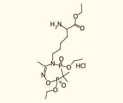 CCOC(=O)C(N)CCCCN1C(C)=NOP(=O)(OCC)C(C)(C)P1(=O)OCC.Cl